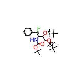 CC(C)(C)OC(=O)NC(C(CO[Si](C)(C)C(C)(C)C)O[Si](C)(C)C(C)(C)C)[C@H](F)c1ccccc1